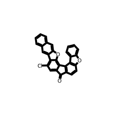 O=C1c2cc(Cl)c3c(oc4cc5ccccc5cc43)c2-c2c1ccc1oc3ccccc3c21